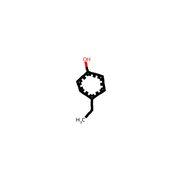 CCc1[c]cc(O)cc1